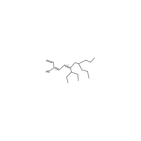 C=C/C(S)=C\C=C(\CC(CCC)CCC)C(CC)CC